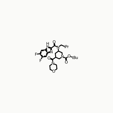 CC(C)CN(C(=O)c1nc2cc(F)c(F)cc2[nH]1)C1CC(C(=O)N2CCOCC2)CN(C(=O)OC(C)(C)C)C1